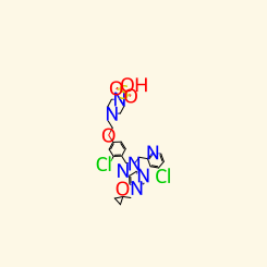 CC1(Oc2ncnc3c2nc(-c2ccc(OCCN4CCN(S(=O)(=O)O)CC4)cc2Cl)n3Cc2cc(Cl)ccn2)CC1